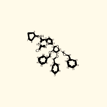 Clc1nc(NC2CCCC2)c2ccc([C@@H]3O[C@H](COCc4ccccc4)[C@@H](OCc4ccccc4)[C@H]3OCc3ccccc3)n2n1